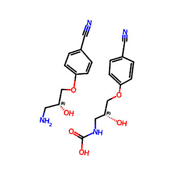 N#Cc1ccc(OC[C@H](O)CN)cc1.N#Cc1ccc(OC[C@H](O)CNC(=O)O)cc1